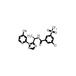 C[C@@H](NC(=O)c1cc(Cl)cc(S(=O)(=O)C(F)(F)F)c1)c1ncnn1-c1cc(C#N)ccn1